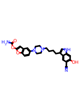 N#Cc1cc2c(CCCCN3CCN(c4ccc5oc(OC(N)=O)cc5c4)CC3)c[nH]c2cc1O